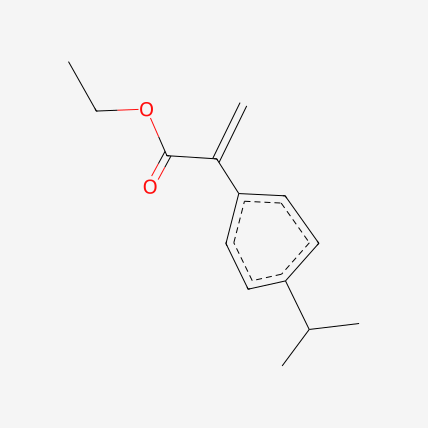 C=C(C(=O)OCC)c1ccc(C(C)C)cc1